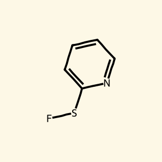 FSc1ccccn1